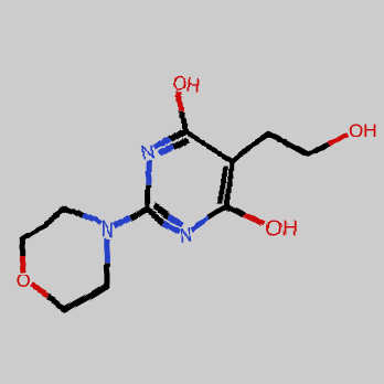 OCCc1c(O)nc(N2CCOCC2)nc1O